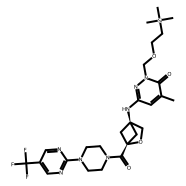 Cc1cc(N[C@]23CO[C@](C(=O)N4CCN(c5ncc(C(F)(F)F)cn5)CC4)(C2)C3)nn(COCC[Si](C)(C)C)c1=O